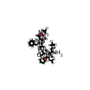 CC(C)C[C@@H](C(=O)NC(C(=O)N(C)CC(=O)N(C)[C@@H](Cc1ccccc1)N[C@H](C(=O)N(C)[C@@H](CC(C)C)C(N)=O)C(C)C)C(=O)N1CCCCC1)N(C)C(=O)C(N)COC(C)(C)C